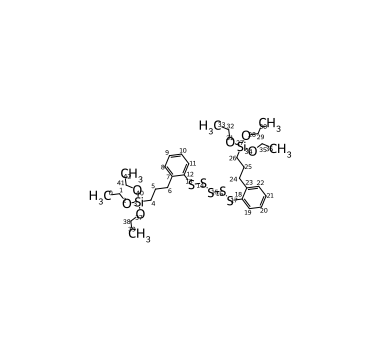 CCO[Si](CCCc1ccccc1SSSSSc1ccccc1CCC[Si](OCC)(OCC)OCC)(OCC)OCC